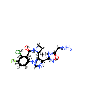 NCc1nc(-c2ncn3c2[C@@H]2CCN2C(=O)c2c-3ccc(F)c2Cl)no1